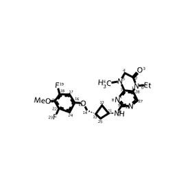 CCN1C(=O)CN(C)c2nc(N[C@H]3C[C@@H](COc4cc(F)c(OC)c(F)c4)C3)ncc21